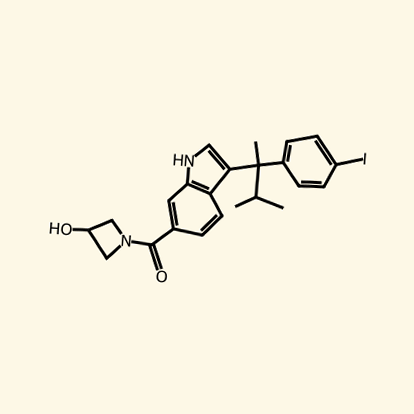 CC(C)C(C)(c1ccc(I)cc1)c1c[nH]c2cc(C(=O)N3CC(O)C3)ccc12